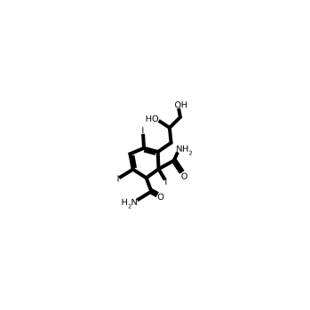 NC(=O)C1C(I)=CC(I)=C(CC(O)CO)C1(I)C(N)=O